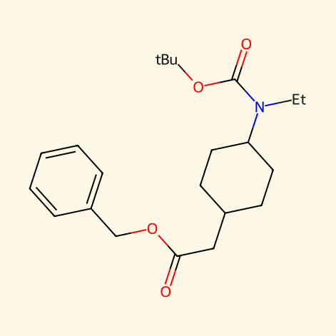 CCN(C(=O)OC(C)(C)C)C1CCC(CC(=O)OCc2ccccc2)CC1